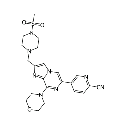 CS(=O)(=O)N1CCN(Cc2cn3cc(-c4ccc(C#N)nc4)nc(N4CCOCC4)c3n2)CC1